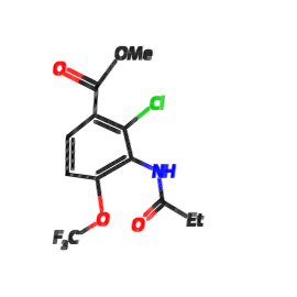 CCC(=O)Nc1c(OC(F)(F)F)ccc(C(=O)OC)c1Cl